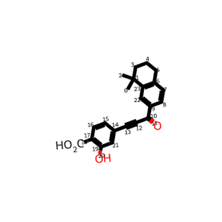 CC1(C)CCCc2ccc(C(=O)C#Cc3ccc(C(=O)O)c(O)c3)cc21